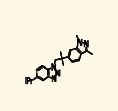 Cc1nn(C)c2cc(C(C)(C)Cn3nnc4cc(C(C)C)ccc43)ccc12